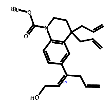 C=CC/C(=C/CO)c1ccc2c(c1)C(CC=C)(CC=C)CCN2C(=O)OC(C)(C)C